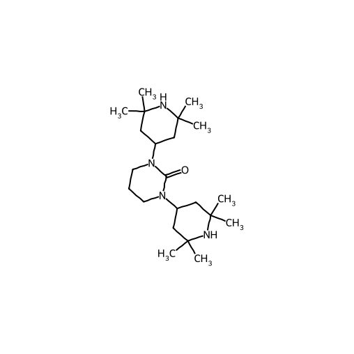 CC1(C)CC(N2CCCN(C3CC(C)(C)NC(C)(C)C3)C2=O)CC(C)(C)N1